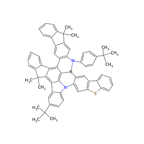 CC(C)(C)c1ccc(N2B3c4cc5c(cc4-n4c6ccc(C(C)(C)C)cc6c6c7c(c(c3c64)-c3cc4c(cc32)C(C)(C)c2ccccc2-4)-c2ccccc2C7(C)C)sc2ccccc25)cc1